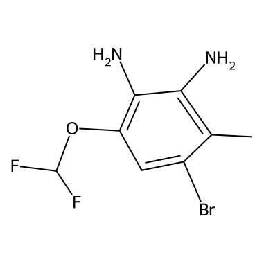 Cc1c(Br)cc(OC(F)F)c(N)c1N